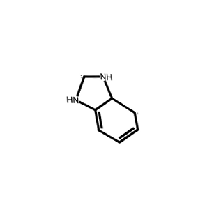 [C]1NC2=CC=C[C]C2N1